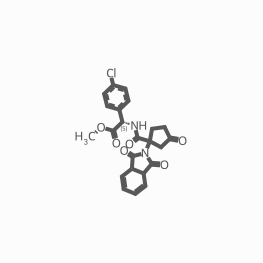 COC(=O)[C@@H](NC(=O)C1(N2C(=O)C3C=CC=CC3C2=O)CCC(=O)C1)c1ccc(Cl)cc1